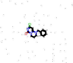 O=c1nc(Cl)cc2n1CCCN2Cc1ccccc1